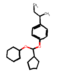 CCC(C)c1ccc(OC(OC2CCCCC2)C2CCCC2)cc1